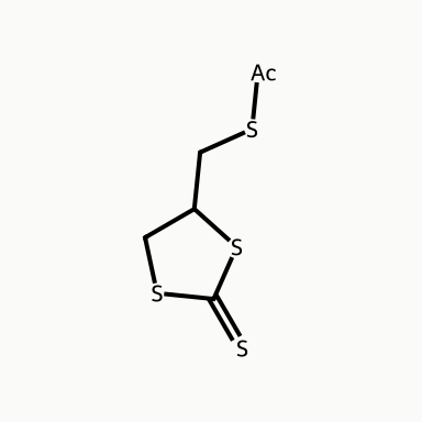 CC(=O)SCC1CSC(=S)S1